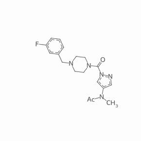 CC(=O)N(C)c1cnn(C(=O)N2CCN(Cc3cccc(F)c3)CC2)c1